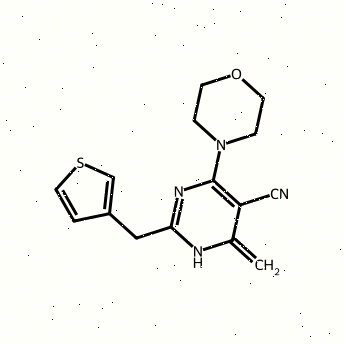 C=C1NC(Cc2ccsc2)=NC(N2CCOCC2)=C1C#N